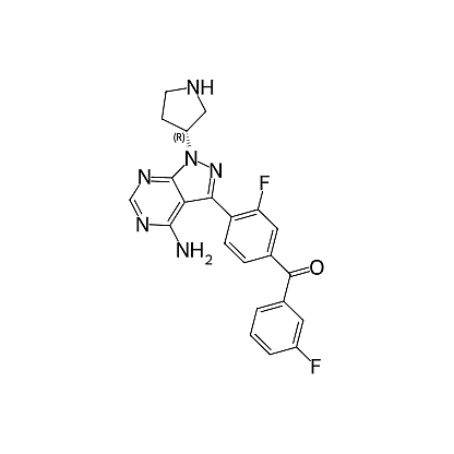 Nc1ncnc2c1c(-c1ccc(C(=O)c3cccc(F)c3)cc1F)nn2[C@@H]1CCNC1